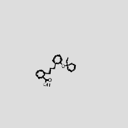 CCC1(Oc2ccccc2CC=Cc2ccccc2C(=O)O)C=CC=CC1